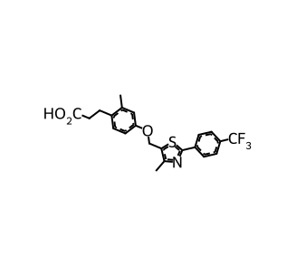 Cc1cc(OCc2sc(-c3ccc(C(F)(F)F)cc3)nc2C)ccc1CCC(=O)O